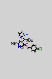 CCCCC(c1ncc[nH]1)c1cc(C#N)ncc1OCc1ccc(Cl)cc1